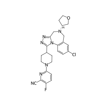 N#Cc1nc(N2CCC(c3nnc4n3-c3ccc(Cl)cc3CN([C@@H]3CCOC3)C4)CC2)ccc1F